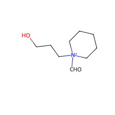 O=C[N+]1(CCCO)CCCCC1